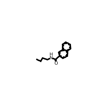 CCCCNC(=O)c1ccc2ccccc2c1